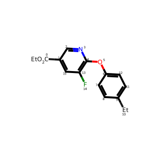 CCOC(=O)c1cnc(Oc2ccc(CC)cc2)c(F)c1